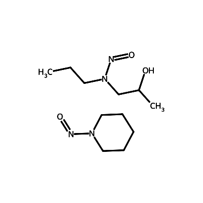 CCCN(CC(C)O)N=O.O=NN1CCCCC1